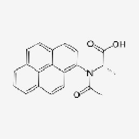 CC(=O)N(c1ccc2ccc3cccc4ccc1c2c34)[C@@H](C)C(=O)O